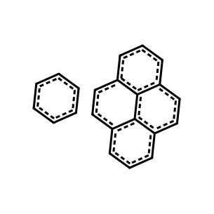 c1cc2ccc3cccc4ccc(c1)c2c34.c1ccccc1